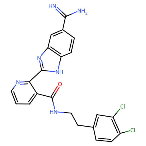 N=C(N)c1ccc2[nH]c(-c3ncccc3C(=O)NCCc3ccc(Cl)c(Cl)c3)nc2c1